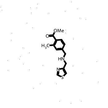 COC(=O)c1ccc(CNCc2cscn2)cc1C